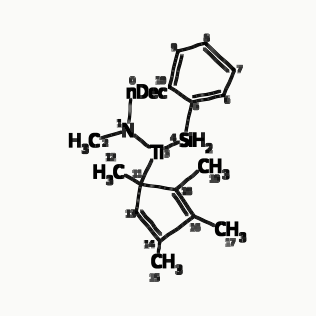 CCCCCCCCCC[N](C)[Ti]([SiH2]c1ccccc1)[C]1(C)C=C(C)C(C)=C1C